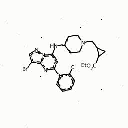 CCOC(=O)C1CC1CN1CCC(Nc2cc(-c3ccccc3Cl)nc3c(Br)cnn23)CC1